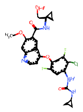 COc1cc2nccc(Oc3c(F)cc(NC(=O)NC4CC4)c(Cl)c3F)c2cc1C(=O)NC1(CO)CC1